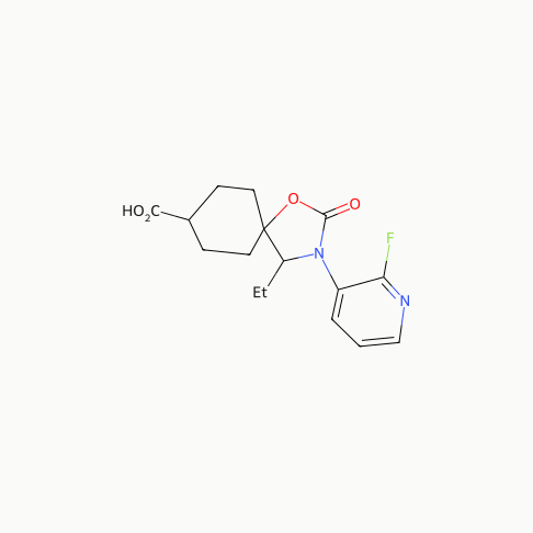 CCC1N(c2cccnc2F)C(=O)OC12CCC(C(=O)O)CC2